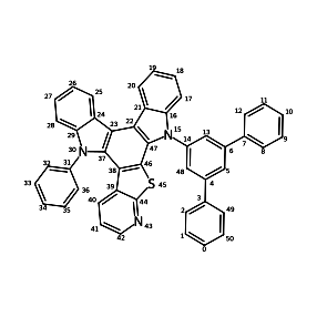 c1ccc(-c2cc(-c3ccccc3)cc(-n3c4ccccc4c4c5c6ccccc6n(-c6ccccc6)c5c5c6cccnc6sc5c43)c2)cc1